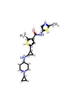 Cc1ncc(NC(=O)c2cc(C3CC3NC3CCN(C4CC4)CC3)sc2C)s1